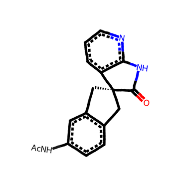 CC(=O)Nc1ccc2c(c1)C[C@@]1(C2)C(=O)Nc2ncccc21